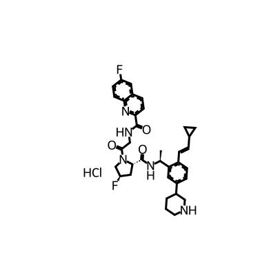 C[C@H](NC(=O)[C@@H]1C[C@@H](F)CN1C(=O)CNC(=O)c1ccc2cc(F)ccc2n1)c1cc(C2CCCNC2)ccc1/C=C/C1CC1.Cl